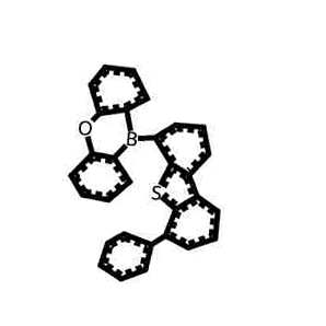 c1ccc(-c2cccc3c2sc2c(B4c5ccccc5Oc5ccccc54)cccc23)cc1